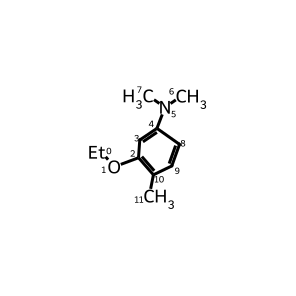 CCOc1cc(N(C)C)ccc1C